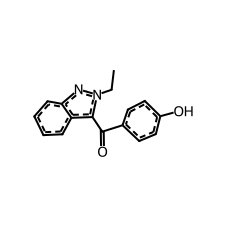 CCn1nc2ccccc2c1C(=O)c1ccc(O)cc1